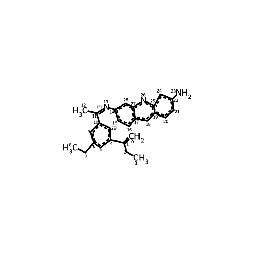 C=C(CC)c1cc(CC)cc(/C(C)=N\c2ccc3cc4ccc(N)cc4nc3c2)c1